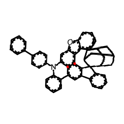 c1ccc(-c2ccc(N(c3ccc4c(c3)oc3ccccc34)c3ccccc3-c3ccc4c(c3)-c3ccccc3C43C4CC5CC(C4)CC3C5)cc2)cc1